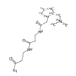 [13CH3][15N]([13CH3])[13CH2][13CH]1[13CH2][13CH2][13CH2][15N]1CC(=O)NCCC(=O)NCCC(=O)O